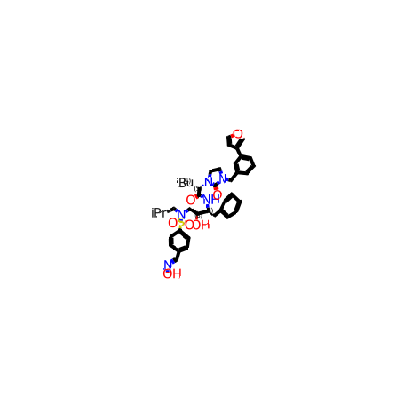 CC[C@H](C)[C@@H](C(=O)N[C@@H](Cc1ccccc1)[C@@H](O)CN(CC(C)C)S(=O)(=O)c1ccc(C=NO)cc1)N1CCN(Cc2cccc(-c3ccoc3)c2)C1=O